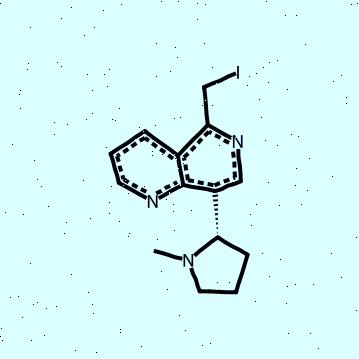 CN1CCC[C@H]1c1cnc(CI)c2cccnc12